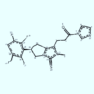 Cn1c(CCC(=O)n2ccnc2)c2n(c1=S)C[C@@H](c1c(F)c(F)cc(F)c1F)C2